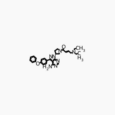 CCN(CC)CC=CC(=O)N1CCC(n2nc(-c3ccc(Oc4ccccc4)cc3)c3c(N)ncnc32)C1